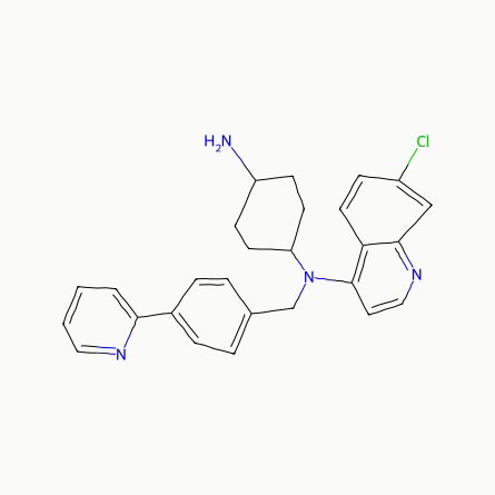 NC1CCC(N(Cc2ccc(-c3ccccn3)cc2)c2ccnc3cc(Cl)ccc23)CC1